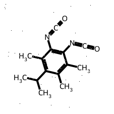 Cc1c(C)c(C(C)C)c(C)c(N=C=O)c1N=C=O